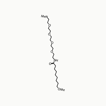 CNCCOCCOCCOCCOCCNC(=O)CCCCCCCCOC